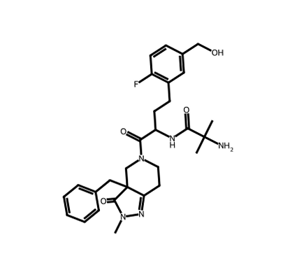 CN1N=C2CCN(C(=O)C(CCc3cc(CO)ccc3F)NC(=O)C(C)(C)N)CC2(Cc2ccccc2)C1=O